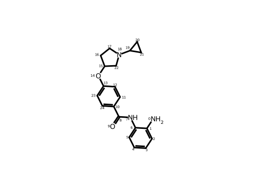 Nc1ccccc1NC(=O)c1ccc(OC2CCN(C3CC3)C2)cc1